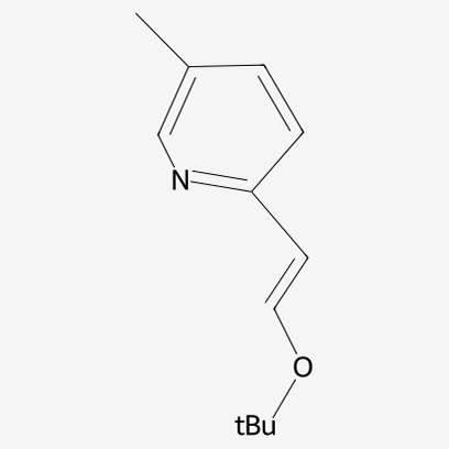 Cc1ccc(C=COC(C)(C)C)nc1